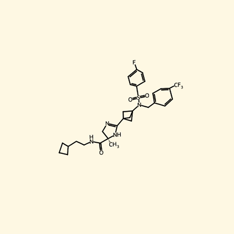 C[C@]1(C(=O)NCCC2CCC2)CN=C(C23CC(N(Cc4ccc(C(F)(F)F)cc4)S(=O)(=O)c4ccc(F)cc4)(C2)C3)N1